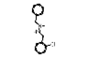 Clc1ccccc1CNNCc1ccccc1